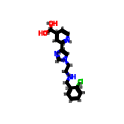 OC(O)c1ccnc(-c2cn(CCNCc3ccccc3Cl)cn2)c1